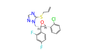 C=CCSc1ncnn1C[C@]1(c2ccc(F)cc2F)O[C@@H]1c1ccccc1Cl